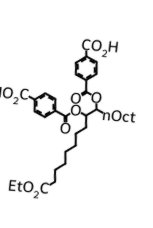 CCCCCCCCC(OC(=O)c1ccc(C(=O)O)cc1)C(CCCCCCCC(=O)OCC)OC(=O)c1ccc(C(=O)O)cc1